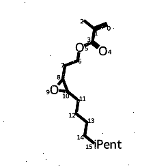 C=C(C)C(=O)OCCC1OC1CCCCC(C)CCC